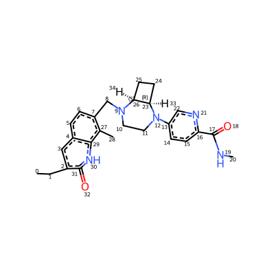 CCc1cc2ccc(CN3CCN(c4ccc(C(=O)NC)nc4)[C@@H]4CC[C@@H]43)c(C)c2[nH]c1=O